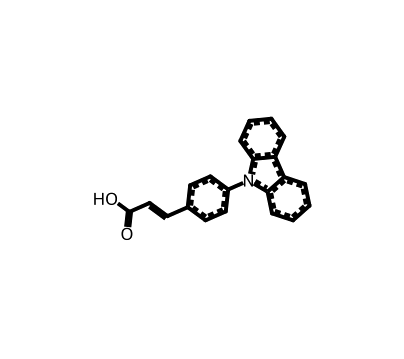 O=C(O)/C=C/c1ccc(-n2c3ccccc3c3ccccc32)cc1